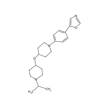 CC(C)N1CCC(OC2CCN(c3ccc(-c4cnco4)cc3)CC2)CC1